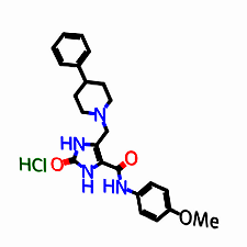 COc1ccc(NC(=O)c2[nH]c(=O)[nH]c2CN2CCC(c3ccccc3)CC2)cc1.Cl